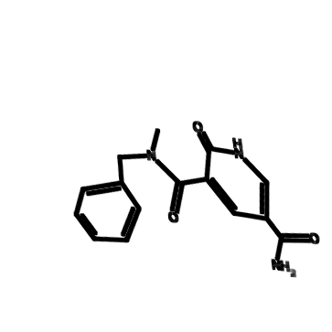 CN(Cc1ccccc1)C(=O)c1cc(C(N)=O)c[nH]c1=O